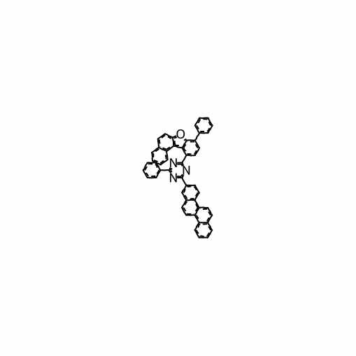 c1ccc(-c2nc(-c3ccc4c(ccc5c6ccccc6ccc45)c3)nc(-c3ccc(-c4ccccc4)c4oc5ccc6ccccc6c5c34)n2)cc1